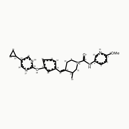 COc1ccc(NC(=O)N2CC/C(=C\c3cccc(Oc4ncc(C5CC5)cn4)c3)C(C)C2)cn1